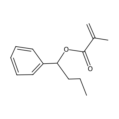 C=C(C)C(=O)OC(CCC)c1ccccc1